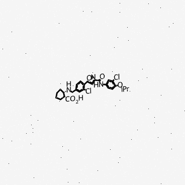 CC(C)Oc1ccc(NC(=O)c2cc(-c3ccc(CN[C@H]4CCCC[C@H]4C(=O)O)cc3Cl)on2)cc1Cl